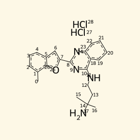 Cc1cccc2cc(-c3nc(NCCC(C)(C)N)c4ccccc4n3)oc12.Cl.Cl